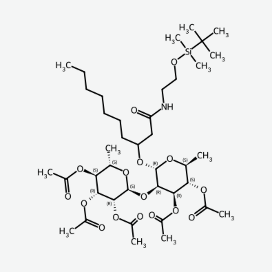 CCCCCCCC(CC(=O)NCCO[Si](C)(C)C(C)(C)C)O[C@@H]1O[C@@H](C)[C@H](OC(C)=O)[C@@H](OC(C)=O)[C@H]1O[C@@H]1O[C@@H](C)[C@H](OC(C)=O)[C@@H](OC(C)=O)[C@H]1OC(C)=O